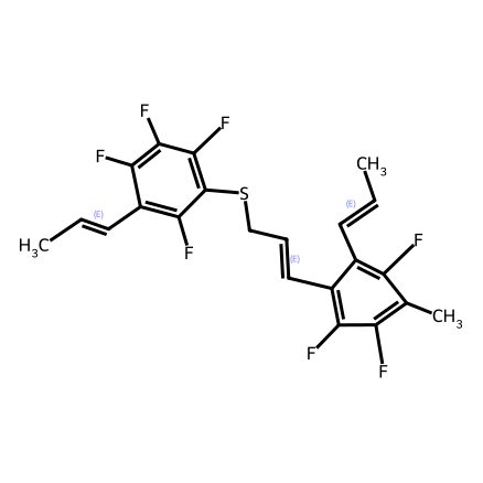 C/C=C/c1c(F)c(F)c(F)c(SC/C=C/c2c(F)c(F)c(C)c(F)c2/C=C/C)c1F